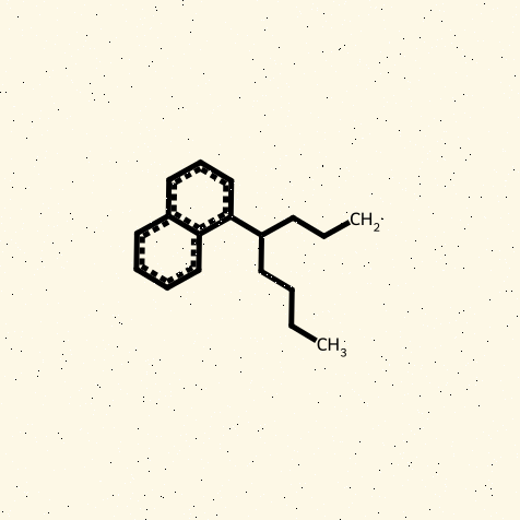 [CH2]CCC(CCCC)c1cccc2ccccc12